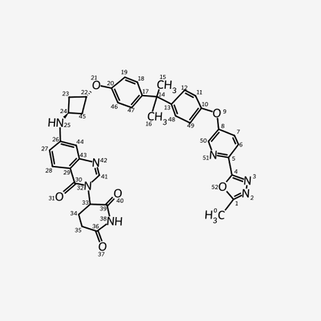 Cc1nnc(-c2ccc(Oc3ccc(C(C)(C)c4ccc(O[C@H]5C[C@H](Nc6ccc7c(=O)n(C8CCC(=O)NC8=O)cnc7c6)C5)cc4)cc3)cn2)o1